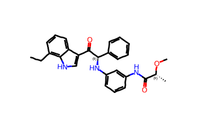 CCc1cccc2c(C(=O)[C@H](Nc3cccc(NC(=O)[C@@H](C)OC)c3)c3ccccc3)c[nH]c12